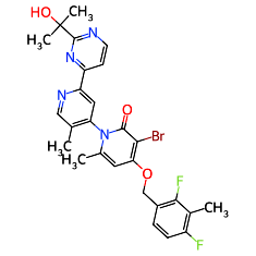 Cc1cnc(-c2ccnc(C(C)(C)O)n2)cc1-n1c(C)cc(OCc2ccc(F)c(C)c2F)c(Br)c1=O